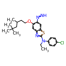 CCN(c1ccc(Cl)cc1)c1nc2cc(OCCC(C)CC(C)(C)C)c(N=N)cc2s1